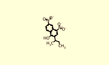 CCC(C)c1cc([N+](=O)[O-])c2cc([N+](=O)[O-])ccc2c1O